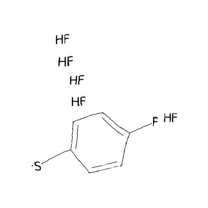 F.F.F.F.F.Fc1ccc([S])cc1